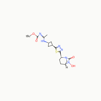 C/C(=N/C(=O)OC(C)(C)C)N[C@H]1C[C@@H](c2nnc([C@@H]3CC[C@@H]4CN3C(=O)N4O)s2)C1